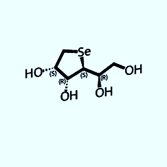 OC[C@@H](O)[C@@H]1[Se]C[C@@H](O)[C@H]1O